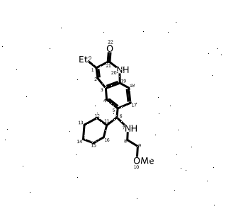 CCc1cc2cc(C(NCCOC)C3CCCCC3)ccc2[nH]c1=O